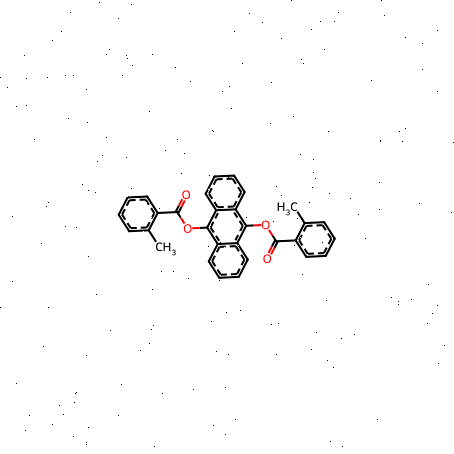 Cc1ccccc1C(=O)Oc1c2ccccc2c(OC(=O)c2ccccc2C)c2ccccc12